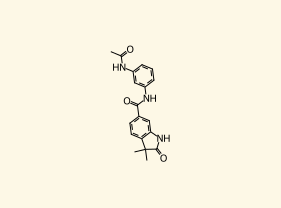 CC(=O)Nc1cccc(NC(=O)c2ccc3c(c2)NC(=O)C3(C)C)c1